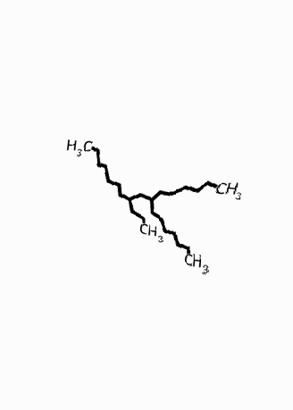 CCCCCCCC(CCC)CC(CCCCCC)CCCCCCC